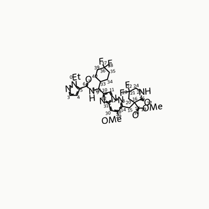 CCn1nccc1C(=O)N[C@H](c1cn2nc(CC3(C(=O)OC)CC(F)(F)CNC3=O)c(OC)cc2n1)C1CCC(F)(F)CC1